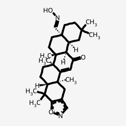 CC1(C)CC[C@]2(/C=N/O)CC[C@]3(C)[C@H](C(=O)C=C4[C@@]5(C)Cc6cnoc6C(C)(C)[C@@H]5CC[C@]43C)[C@@H]2C1